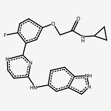 O=C(COc1ccc(F)c(-c2nccc(Nc3ccc4[nH]ncc4c3)n2)c1)NC1CC1